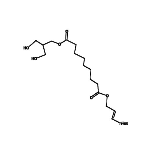 CCCCCCC=CCOC(=O)CCCCCCCC(=O)OCC(CO)CO